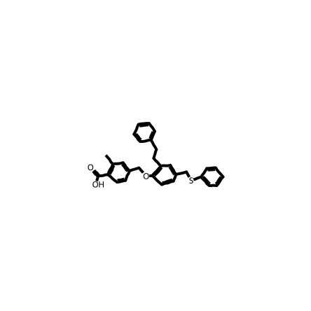 Cc1cc(COc2ccc(CSc3ccccc3)cc2CCc2ccccc2)ccc1C(=O)O